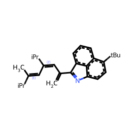 C=C(/C=C(\C=C(/C)C(C)C)C(C)C)C1=Nc2ccc(C(C)(C)C)c3cccc1c23